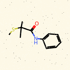 CSC(C)(C)C(=O)Nc1ccccc1